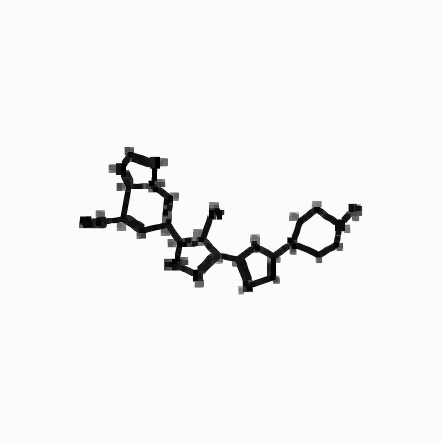 CCN1CCN(c2cnc(-c3n[nH]c(-c4cc(OC)c5ncnn5c4)c3C(C)C)s2)CC1